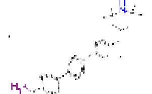 CC1(C)CC(Cc2ccc(-c3ccc(-c4ccc(CP)cc4)cc3)cc2)CC(C)(C)N1